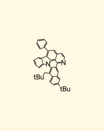 CC(C)(C)Cc1c2ccc(C(C)(C)C)cc2cc2c3nccc4cc(-c5ccccc5)c5c6ccccc6n(c12)c5c43